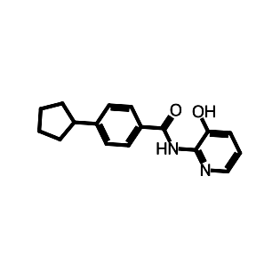 O=C(Nc1ncccc1O)c1ccc(C2CCCC2)cc1